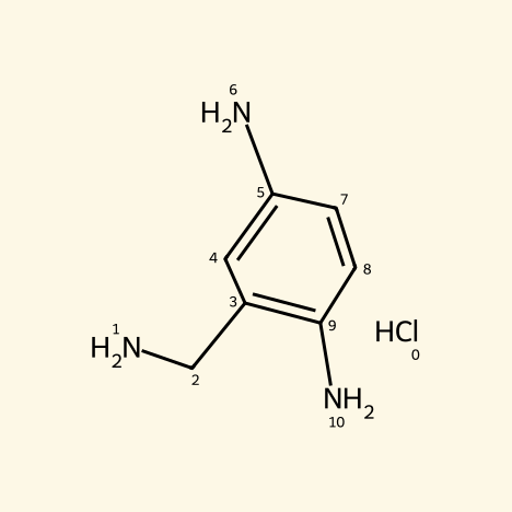 Cl.NCc1cc(N)ccc1N